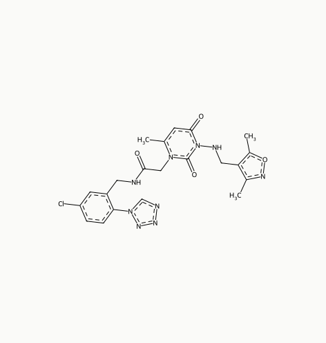 Cc1noc(C)c1CNn1c(=O)cc(C)n(CC(=O)NCc2cc(Cl)ccc2-n2cnnn2)c1=O